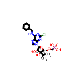 C=C(C)[C@@]1(O)[C@@H](COCP(=O)(O)O)O[C@@H](n2cnc3c(NCc4ccccc4)nc(Cl)nc32)[C@@H]1O